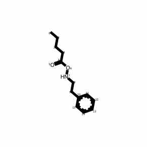 CCCCC(=O)ONCCc1ccccc1